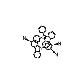 N#Cc1ccc2c(c1)c1ccccc1n2-c1cc(C#N)c(C#N)c(-c2ccccc2[Si](c2ccccc2)(c2ccccc2)c2ccccc2)c1